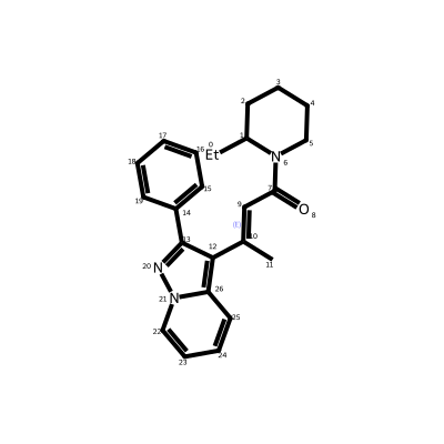 CCC1CCCCN1C(=O)/C=C(\C)c1c(-c2ccccc2)nn2ccccc12